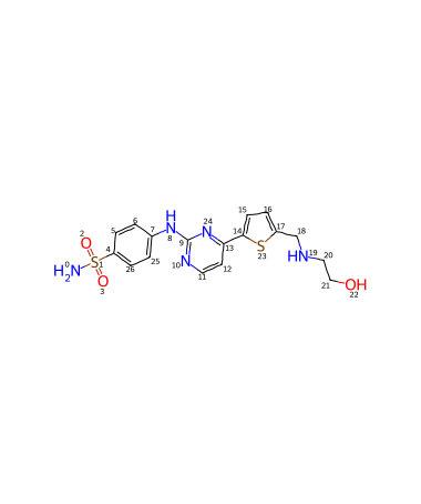 NS(=O)(=O)c1ccc(Nc2nccc(-c3ccc(CNCCO)s3)n2)cc1